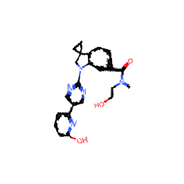 CN(CCO)C(=O)c1ccc2c(c1)N(c1ncc(-c3cccc(O)n3)cn1)CC21CC1